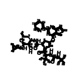 CCC[C@H](NC(=O)[C@@H]1C[C@@H](Oc2nc(-c3ccccn3)nc3ccsc23)CN1C(=O)C(NC(=O)NC(C)(C)C)C(C)(C)C)C(O)C(=O)NC1CC1